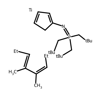 CC(C)(C)CP(CC(C)(C)C)(CC(C)(C)C)=NC1=CC=CC1.CCC=C(C)C(C)=CCC.[Ti]